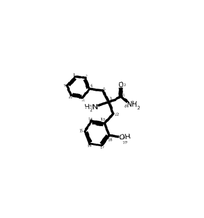 NC(=O)C(N)(Cc1ccccc1)Cc1ccccc1O